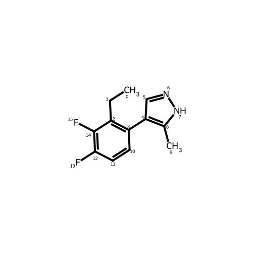 CCc1c(-c2cn[nH]c2C)ccc(F)c1F